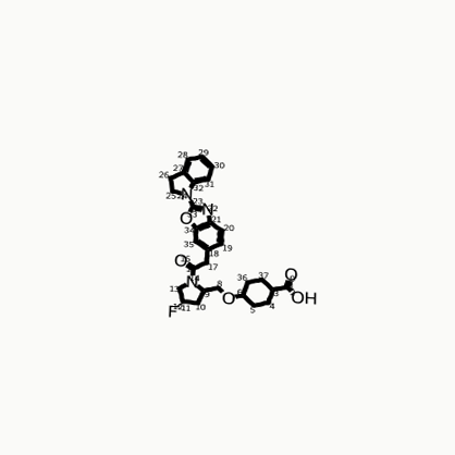 O=C(O)C1CCC(OCC2C[C@H](F)CN2C(=O)Cc2ccc3nc(N4CCc5ccccc54)oc3c2)CC1